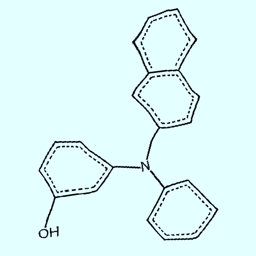 Oc1cccc(N(c2ccccc2)c2ccc3ccccc3c2)c1